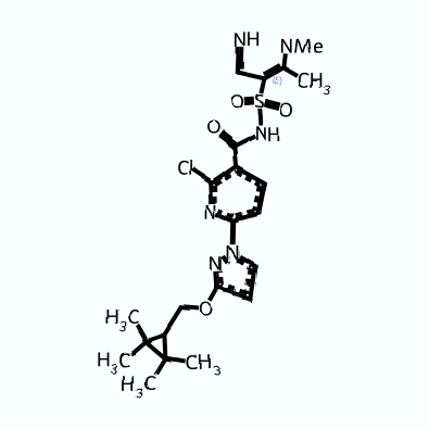 CN/C(C)=C(\C=N)S(=O)(=O)NC(=O)c1ccc(-n2ccc(OCC3C(C)(C)C3(C)C)n2)nc1Cl